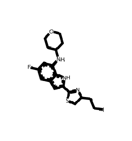 Fc1cc(NC2CCOCC2)c2[nH]c(C3=NC(CCI)CS3)cc2c1